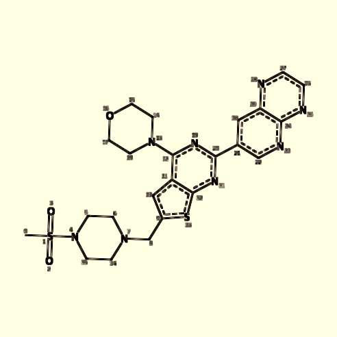 CS(=O)(=O)N1CCN(Cc2cc3c(N4CCOCC4)nc(-c4cnc5nccnc5c4)nc3s2)CC1